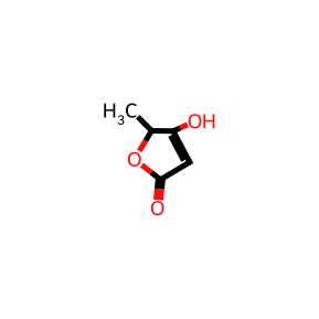 CC1OC(=O)C=C1O